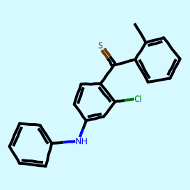 Cc1ccccc1C(=S)c1ccc(Nc2ccccc2)cc1Cl